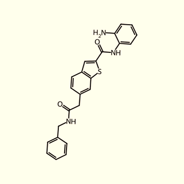 Nc1ccccc1NC(=O)c1cc2ccc(CC(=O)NCc3ccccc3)cc2s1